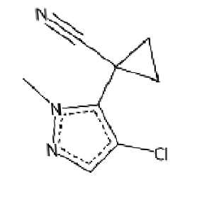 Cn1ncc(Cl)c1C1(C#N)CC1